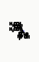 CC1(C)CCC(C)(C)c2cc(CC/C=C(/CCC(=O)O)c3cccc(C(F)(F)F)c3)ccc21